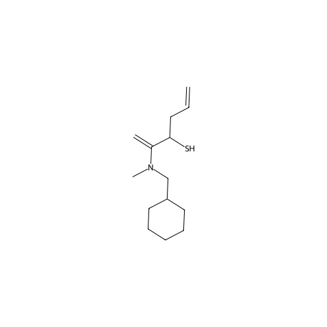 C=CCC(S)C(=C)N(C)CC1CCCCC1